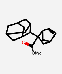 COC(=O)C1(C2C3CC4CC(C3)CC2C4)CC2C=CC1C2